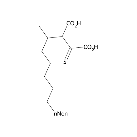 CCCCCCCCCCCCCCC(C)C(C(=O)O)C(=S)C(=O)O